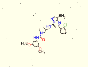 Bc1cnn2c(NCC3CCCN(C(=O)Nc4cc(OC)cc(OC)c4)C3)cc(-c3ccccc3Cl)nc12